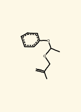 C=C(C)COC(C)Oc1ccccc1